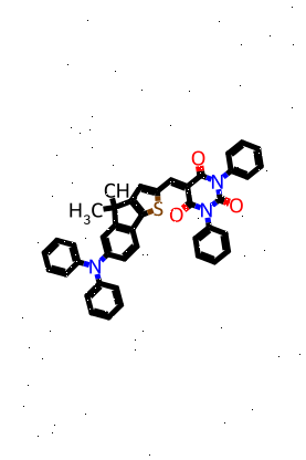 CC1(C)c2cc(N(c3ccccc3)c3ccccc3)ccc2-c2sc(C=C3C(=O)N(c4ccccc4)C(=O)N(c4ccccc4)C3=O)cc21